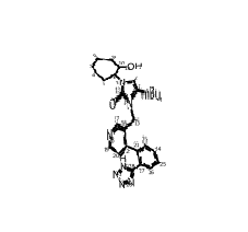 CCCCc1cn(C2CCCCCC2O)c(=O)n1Cc1cnccc1-c1ccccc1-c1nnn[nH]1